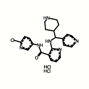 Cl.Cl.O=C(Nc1ccc(Cl)nc1)c1cccnc1NC(c1ccncc1)C1CCNCC1